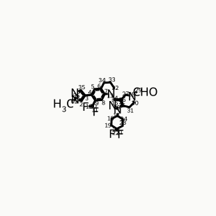 Cn1cc(-c2cc3c(cc2C(F)F)N(c2nn(C4CCC(F)(F)CC4)c4c2CN(C=O)CC4)CCC3)cn1